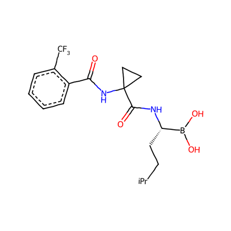 CC(C)CC[C@H](NC(=O)C1(NC(=O)c2ccccc2C(F)(F)F)CC1)B(O)O